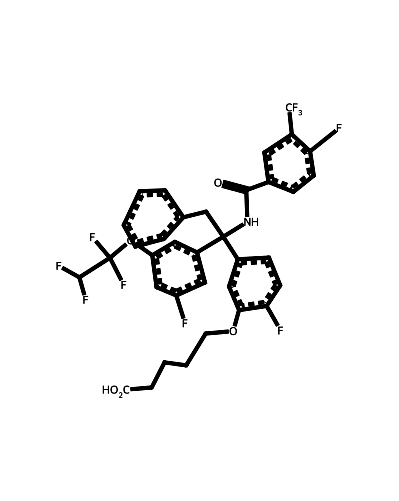 O=C(O)CCCCOc1cc(C(Cc2ccccc2)(NC(=O)c2ccc(F)c(C(F)(F)F)c2)c2cc(F)cc(OC(F)(F)C(F)F)c2)ccc1F